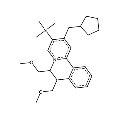 COCC1c2ccccc2-c2cc(CC3CCCC3)c([Si](C)(C)C)c[n+]2C1COC